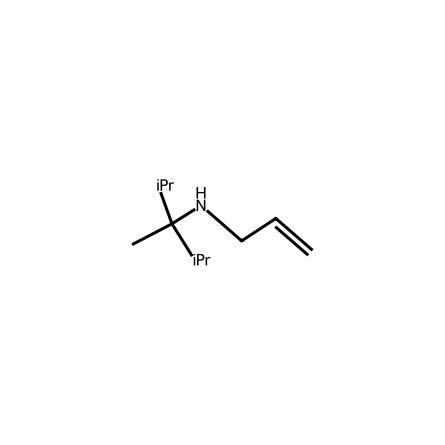 C=CCNC(C)(C(C)C)C(C)C